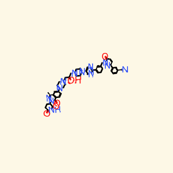 Cc1nn(C2CCC(=O)NC2=O)c(=O)c2ccc(N3CCN(CC(O)CN4CCN(c5cnc(-c6cccc(Cn7nc(-c8cccc(C#N)c8)ccc7=O)c6)nc5)CC4)CC3)cc12